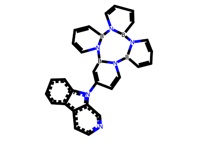 C1=CB2N(C=C1)B1C=CC=CN1B1C=C(n3c4ccccc4c4ccncc43)C=CN1B1C=CC=CN21